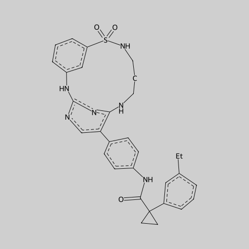 CCc1cccc(C2(C(=O)Nc3ccc(-c4cnc5nc4NCCCNS(=O)(=O)c4cccc(c4)N5)cc3)CC2)c1